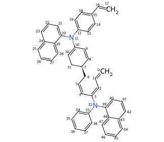 C=C/C=C(\C=C/C[C@@H]1C=CC(N(c2ccc(C=C)cc2)c2cccc3ccccc23)=CC1)N(c1ccccc1)c1cccc2ccccc12